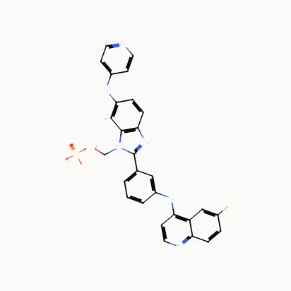 O=P(O)(O)OCn1c(-c2cccc(Nc3ccnc4ccc(F)cc34)c2)nc2ccc(Nc3ccncc3)cc21